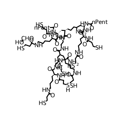 CCCCCC(=O)N[C@H](CC(N)CCC[C@@H](C[C@@H](NC(=O)CCCCC)NC(=O)C(CCCCNC(=O)CCS)NC(=O)CCS)C(=O)NCCNC(=O)C(CCCNC(=O)[C@H](CCCCNC(=O)CCS)NC(=O)CCS)CC(CCCCNC(=O)CCS)(NC(=O)CCS)C(N)=O)NC(=O)C(CCCCNC(=O)CCS)NC(=O)CCS.O=CO